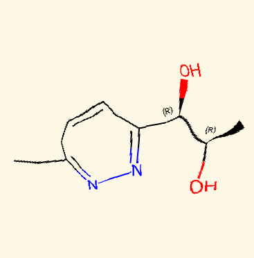 Cc1ccc([C@@H](O)[C@@H](C)O)nn1